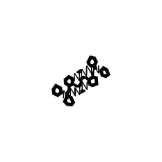 c1ccc(-n2c(-c3ccccc3-c3nccnc3-c3nccnc3-c3ccccc3-c3nc4ccccc4n3-c3ccccc3)nc3ccccc32)cc1